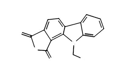 CCn1c2ccccc2c2ccc3c(c21)C(=O)OC3=O